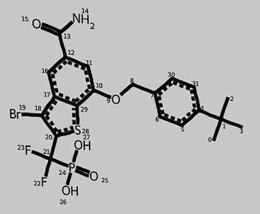 CC(C)(C)c1ccc(COc2cc(C(N)=O)cc3c(Br)c(C(F)(F)P(=O)(O)O)sc23)cc1